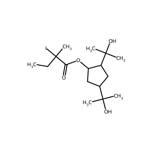 CCC(C)(I)C(=O)OC1CC(C(C)(C)O)CC1C(C)(C)O